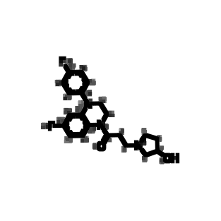 O=C(CCN1CCC(O)C1)N1CCN(c2ccc(F)cc2)c2cc(F)ccc21